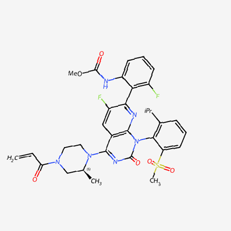 C=CC(=O)N1CCN(c2nc(=O)n(-c3c(C(C)C)cccc3S(C)(=O)=O)c3nc(-c4c(F)cccc4NC(=O)OC)c(F)cc23)[C@@H](C)C1